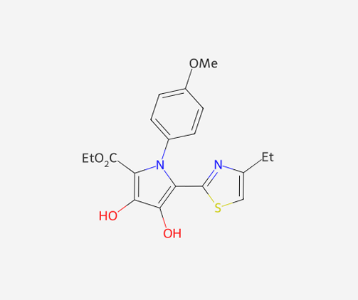 CCOC(=O)c1c(O)c(O)c(-c2nc(CC)cs2)n1-c1ccc(OC)cc1